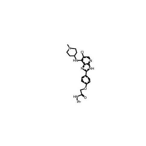 CC(C)NC(=O)COc1ccc(-c2nc3c(NC4CCN(C)CC4)c(Cl)cnc3[nH]2)cc1